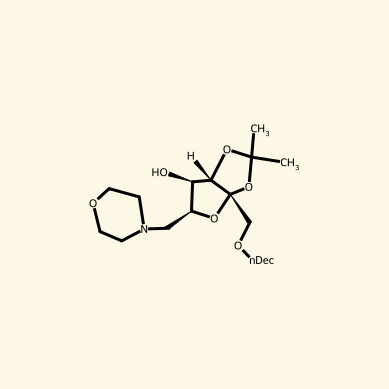 CCCCCCCCCCOC[C@@]12O[C@@H](CN3CCOCC3)[C@@H](O)[C@@H]1OC(C)(C)O2